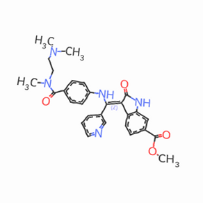 COC(=O)c1ccc2c(c1)NC(=O)/C2=C(\Nc1ccc(C(=O)N(C)CCN(C)C)cc1)c1cccnc1